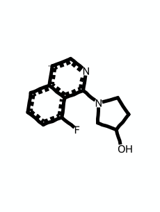 OC1CCN(c2nc[c]c3cccc(F)c23)C1